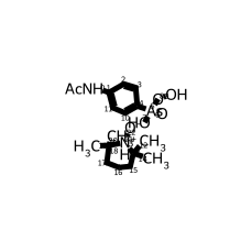 CC(=O)Nc1ccc([As](=O)(O)OO)cc1.CC1(C)CCCC(C)(C)[NH+]1[O-]